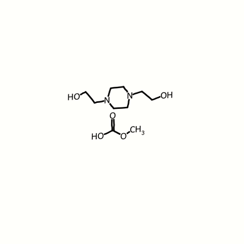 COC(=O)O.OCCN1CCN(CCO)CC1